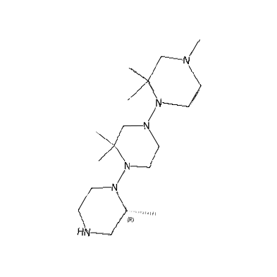 C[C@@H]1CNCCN1N1CCN(N2CCN(C)CC2(C)C)CC1(C)C